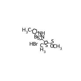 Br.COC(=S)c1cc(-c2csc(Nc3ccc(C)cc3Br)n2)c(C)s1